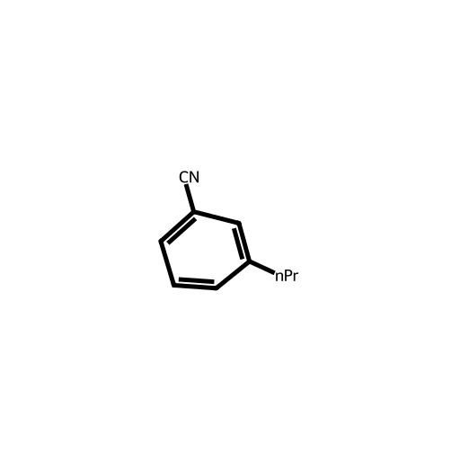 [CH2]CCc1cccc(C#N)c1